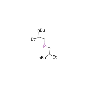 CCCCC(CC)C[P]CC(CC)CCCC